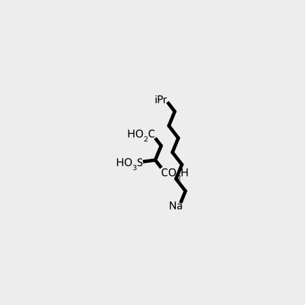 CC(C)CCCCCC[CH2][Na].O=C(O)CC(C(=O)O)S(=O)(=O)O